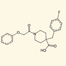 O=C(COc1ccccc1)N1CCC(Cc2ccc(F)cc2)(C(=O)O)CC1